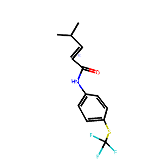 CC(C)/C=C/C(=O)Nc1ccc(SC(F)(F)F)cc1